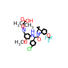 COc1cc(C=NOC(C)(C)C(=O)O)cc(NC(C(=O)N2CC3(CC3)c3ccc(OC(F)(F)F)cc32)c2ccc(Cl)cc2)c1